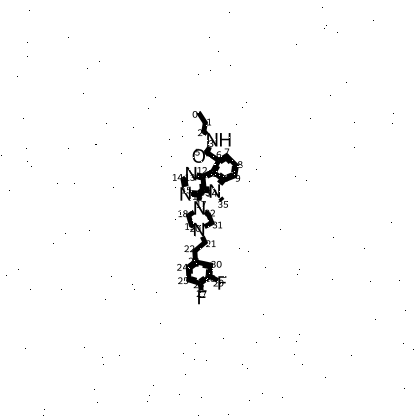 CCCNC(=O)c1cccc2c1c1ncnc(N3CCN(CCc4ccc(F)c(F)c4)CC3)c1n2C